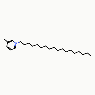 CCCCCCCCCCCCCCCCCC[n+]1cccc(C)c1